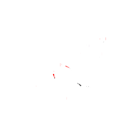 CO[C@@H]([C@H](O)[C@H](O)CO)[C@@H](O)C(=O)OP(=O)(O)O